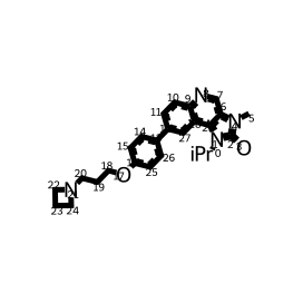 CC(C)n1c(=O)n(C)c2cnc3ccc(-c4ccc(OCCCN5CCC5)cc4)cc3c21